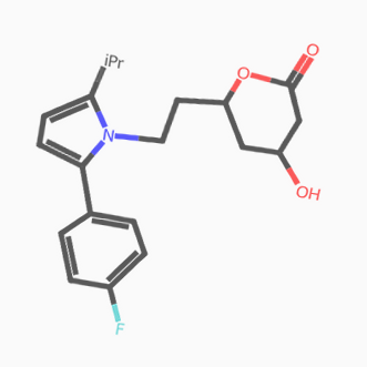 CC(C)c1ccc(-c2ccc(F)cc2)n1CCC1CC(O)CC(=O)O1